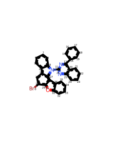 Brc1cc2c3ccccc3n(-c3nc(-c4ccccc4)c4ccccc4n3)c2c2c1oc1ccccc12